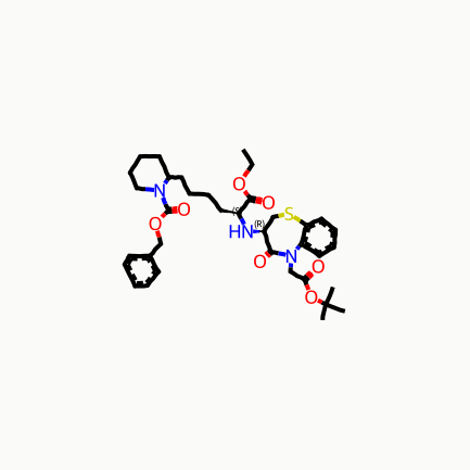 CCOC(=O)[C@H](CCCCC1CCCCN1C(=O)OCc1ccccc1)N[C@H]1CSc2ccccc2N(CC(=O)OC(C)(C)C)C1=O